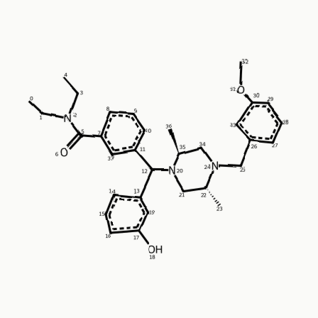 CCN(CC)C(=O)c1cccc(C(c2cccc(O)c2)N2C[C@@H](C)N(Cc3cccc(OC)c3)C[C@@H]2C)c1